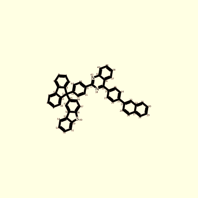 c1ccc2c(c1)-c1ccccc1C2(c1ccc(-c2nc(-c3ccc(-c4ccc5ccccc5c4)cc3)c3ccccc3n2)cc1)c1ccc2sc3ccccc3c2c1